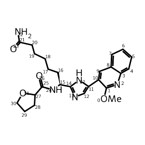 COc1nc2ccccc2cc1-c1cnc([C@H](CCCCCC(N)=O)NC(=O)C2CCCO2)[nH]1